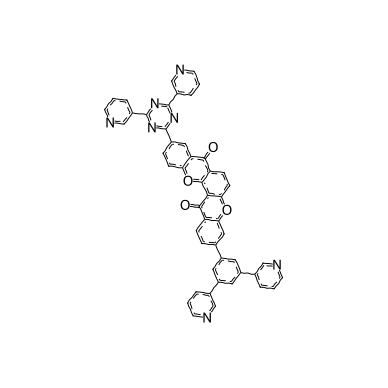 O=c1c2cc(-c3nc(-c4cccnc4)nc(-c4cccnc4)n3)ccc2oc2c1ccc1oc3cc(-c4cc(-c5cccnc5)cc(-c5cccnc5)c4)ccc3c(=O)c12